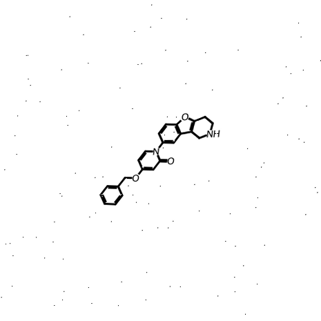 O=c1cc(OCc2ccccc2)ccn1-c1ccc2oc3c(c2c1)CNCC3